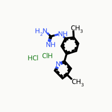 Cc1ccnc(-c2ccc(C)c(NC(=N)N)c2)c1.Cl.Cl